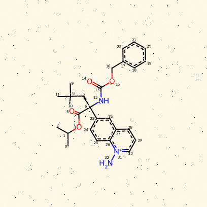 CC(C)OC(=O)[C@](CC(C)(C)C)(NC(=O)OCc1ccccc1)c1ccc2c(ccc[n+]2N)c1